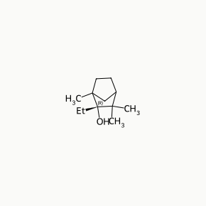 CC[C@@]1(O)C2(C)CCC(C2)C1(C)C